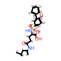 CC(C)CC(C)NC(=O)CCC(NS(=O)(=O)c1ccc2oc3ccccc3c2c1)C(=O)O